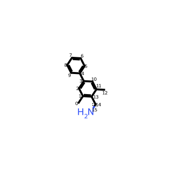 Cc1cc(-c2ccccc2)cc(C)c1[C]N